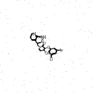 Cc1ccn(Cc2n[nH]c3ncccc23)c(=O)c1Oc1cc(Cl)cc(Br)c1